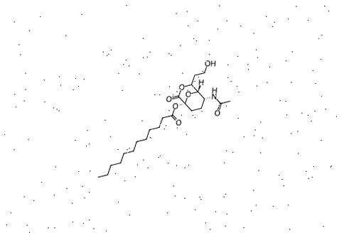 CCCCCCCCCCCC(=O)O[C@@]12CC[C@@H](NC(C)=O)[C@H](O1)C(CCO)OC2=O